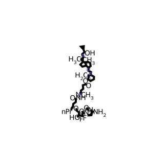 C=C1/C(=C\C=C2/CCC[C@@]3(C)C2CCC3[C@@H](C)/C=C/C(O)C2CC2)CCC[C@@H]1OC(=O)CCC/C(C)=N/NC(=O)CCC(=CCCC)OCC1OC(n2ccc(N)nc2=O)C(F)(F)C1O